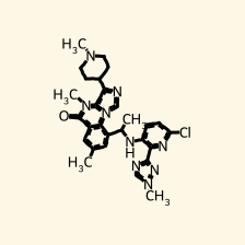 Cc1cc(C(C)Nc2ccc(Cl)nc2-c2ncn(C)n2)c2c(c1)c(=O)n(C)c1c(C3CCN(C)CC3)ncn21